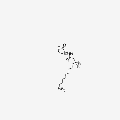 NCCCCCCCCCC1(CC(=O)N[C@H]2CCOC2=O)N=N1